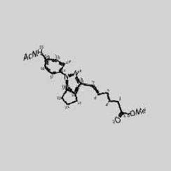 COC(=O)CCCC=Cc1nn(-c2ccc(NC(C)=O)cc2)c2c1CCC2